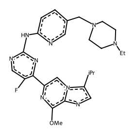 CCN1CCN(Cc2ccc(Nc3ncc(F)c(-c4cn5c(C(C)C)cnc5c(OC)n4)n3)nc2)CC1